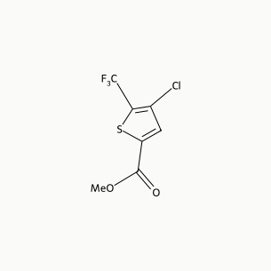 COC(=O)c1cc(Cl)c(C(F)(F)F)s1